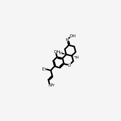 CCCC=CC(CC)c1cc(O)c2c(c1)OC[C@@H]1CCC(=NO)C[C@@H]21